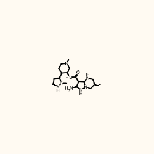 CN1CCC(C2CCNN2C)C(NC(=O)C2C(N)NN3CC(F)CNC23)C1